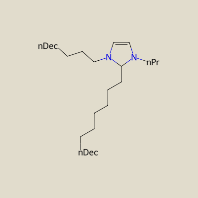 CCCCCCCCCCCCCCCCC1N(CCC)C=CN1CCCCCCCCCCCCC